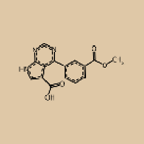 COC(=O)c1cccc(-c2ncnc3[nH]cc(C(=O)O)c23)c1